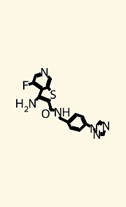 Nc1c(C(=O)NCc2ccc(-n3cncn3)cc2)sc2cncc(F)c12